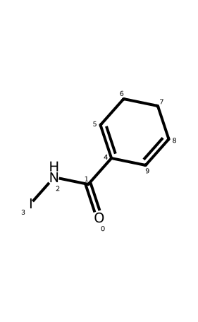 O=C(NI)C1=CCCC=C1